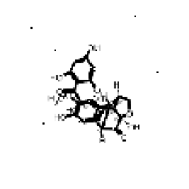 COc1cc([C@@H]2[C@H]3CO[C@@]4(O)C(=O)[C@@H]2C=C([C@H]2Oc5cc(O)cc(O)c5C(=O)[C@@H]2O)[C@@H]34)ccc1O